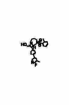 Cc1ccccc1S(=O)(=O)N1CCCCN2[C@H](CO)C(c3ccc(-c4cnc(F)c(C)c4)cc3)[C@@H]2C1